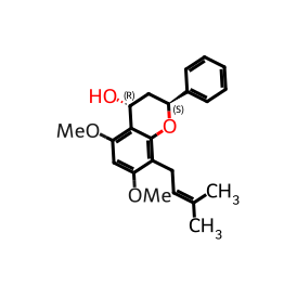 COc1cc(OC)c2c(c1CC=C(C)C)O[C@H](c1ccccc1)C[C@H]2O